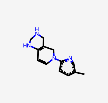 Cc1ccc(N2C=CC3=C(CNCN3)C2)nc1